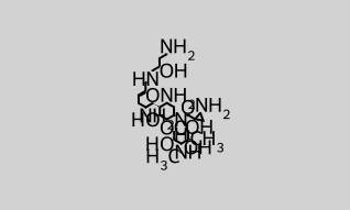 CN[C@@H]1[C@@H](O)[C@@H](O[C@H]2[C@H](NC(=O)C3(O)CC3N)C[C@H](N)C([C@H]3OC(CNCC(O)CCN)=CC[C@H]3N)[C@@H]2O)OC[C@]1(C)O